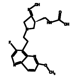 COc1ccc2ncc(F)c(CCN3CC(=NO)[C@H](CNC(=O)O)C3)c2n1